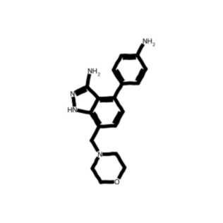 Nc1ccc(-c2ccc(CN3CCOCC3)c3[nH]nc(N)c23)cc1